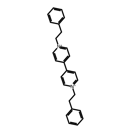 c1ccc(CC[n+]2ccc(-c3cc[n+](CCc4ccccc4)cc3)cc2)cc1